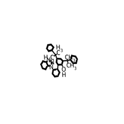 CC(C)(c1ccccc1)c1cc(-c2ccccc2-n2nnc3ccccc32)c(O)c(C(C)(C)c2ccccc2)c1